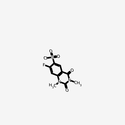 Cn1c(=O)c2cc(S(=O)(=O)Cl)c(F)cc2n(C)c1=O